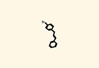 Brc1ccc([CH]C=Cc2ccccc2)cc1